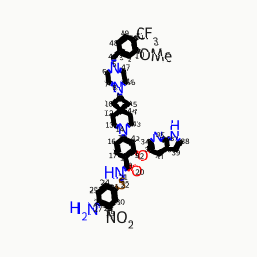 COc1cc(CN2CCN(C3CC4(CCN(c5ccc(C(=O)NSc6ccc(N)c([N+](=O)[O-])c6)c(Oc6cnc7[nH]ccc7c6)c5)CC4)C3)CC2)ccc1C(F)(F)F